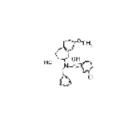 COc1ccc2c(c1)CC(N(Cc1ccccc1)C[C@H](O)c1cccc(Cl)c1)CCC2.Cl